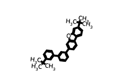 CC(C)(C)c1cccc(-c2cccc(-c3ccc4c(c3)oc3cc(C(C)(C)C)ccc34)c2)c1